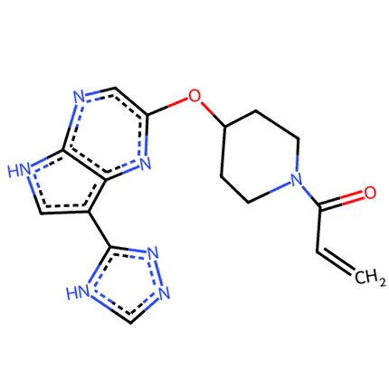 C=CC(=O)N1CCC(Oc2cnc3[nH]cc(-c4nnc[nH]4)c3n2)CC1